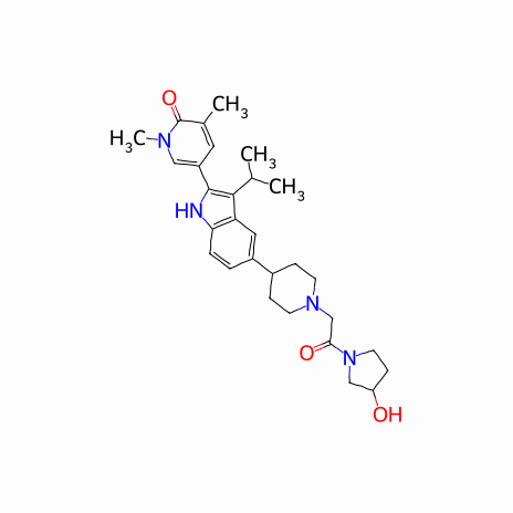 Cc1cc(-c2[nH]c3ccc(C4CCN(CC(=O)N5CCC(O)C5)CC4)cc3c2C(C)C)cn(C)c1=O